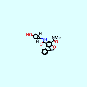 CNC(=O)c1cc(C(=O)NC2[C@H]3CC(O)C[C@@H]23)cc2c1OC[C@@]2(C)c1ccccc1